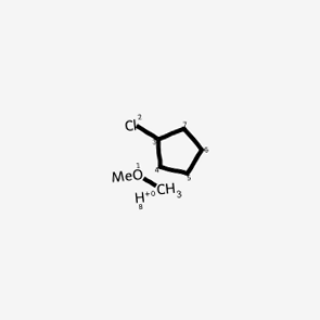 COC.ClC1CCCC1.[H+]